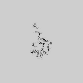 CCC(C(C)=O)C(=O)[O-].CN(C)CC[O-].COCCC[O-].[Al+3]